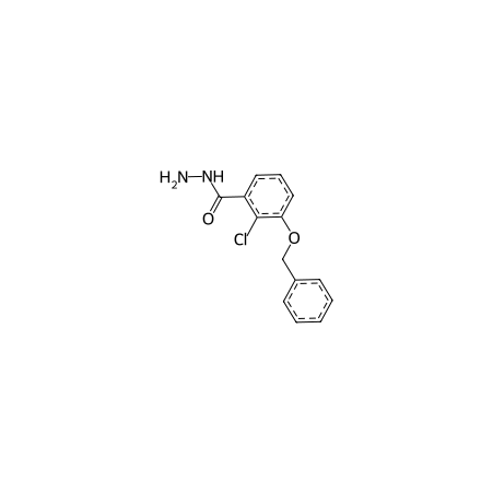 NNC(=O)c1cccc(OCc2ccccc2)c1Cl